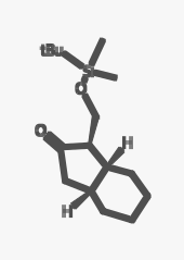 CC(C)(C)[Si](C)(C)OC[C@@H]1C(=O)C[C@H]2CCCC[C@H]21